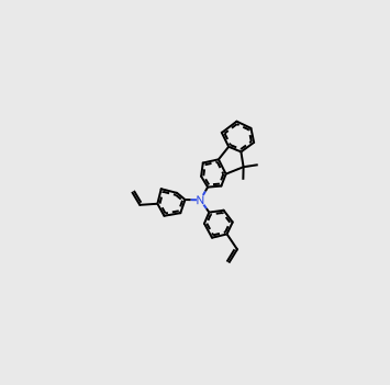 C=Cc1ccc(N(c2ccc(C=C)cc2)c2ccc3c(c2)C(C)(C)c2ccccc2-3)cc1